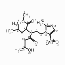 COC(=O)C(CC(C)C)N(CCn1c([N+](=O)[O-])cnc1C)C(=O)CC(C)O